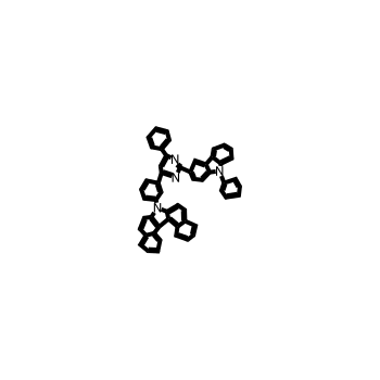 c1ccc(-c2cc(-c3cccc(-n4c5ccc6ccccc6c5c5c6ccccc6ccc54)c3)nc(-c3ccc4c(c3)c3ccccc3n4-c3ccccc3)n2)cc1